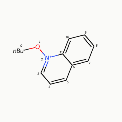 CCCCO[n+]1cccc2ccccc21